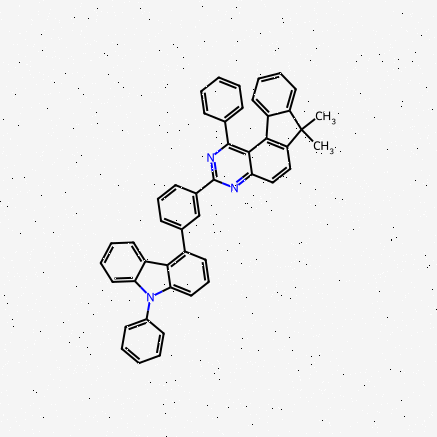 CC1(C)c2ccccc2-c2c1ccc1nc(-c3cccc(-c4cccc5c4c4ccccc4n5-c4ccccc4)c3)nc(-c3ccccc3)c21